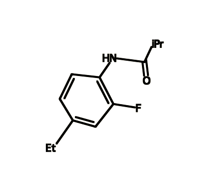 CCc1ccc(NC(=O)C(C)C)c(F)c1